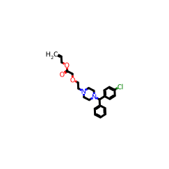 C=CCOC(=O)COCCN1CCN(C(c2ccccc2)c2ccc(Cl)cc2)CC1